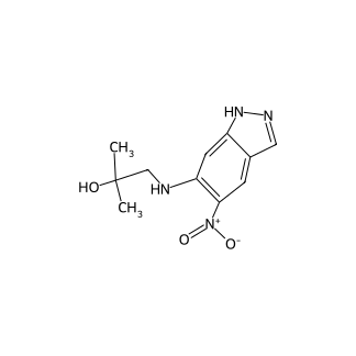 CC(C)(O)CNc1cc2[nH]ncc2cc1[N+](=O)[O-]